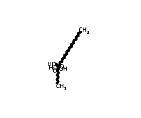 CCCCCCCCC=CCC=CCCCCCCC(=O)C(O)(CO)C(O)C(=O)CCCCCCC